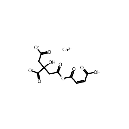 O=C(O)/C=C\C(=O)OC(=O)CC(O)(CC(=O)[O-])C(=O)[O-].[Ca+2]